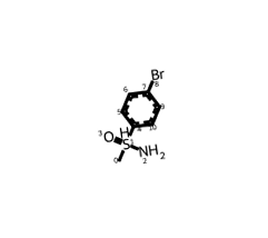 C[SH](N)(=O)c1ccc(Br)cc1